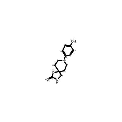 O=C1NCC2(CCN(c3ccc(O)cc3)CC2)O1